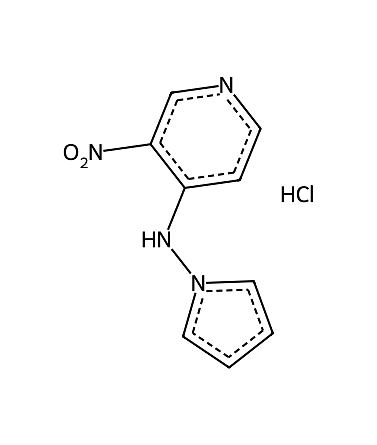 Cl.O=[N+]([O-])c1cnccc1Nn1cccc1